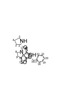 O=C([C@@H]1CCCN1)N1CCC(=S)[C@@]1(C(=O)OCc1ccccc1)C(O)=S